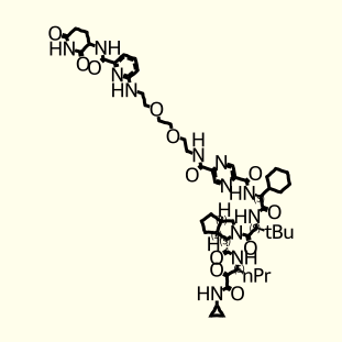 CCC[C@H](NC(=O)[C@@H]1[C@H]2CCC[C@H]2CN1C(=O)[C@@H](NC(=O)[C@@H](NC(=O)c1cnc(C(=O)NCCOCCOCCNc2cccc(C(=O)NC3CCC(=O)NC3=O)n2)cn1)C1CCCCC1)C(C)(C)C)C(=O)C(=O)NC1CC1